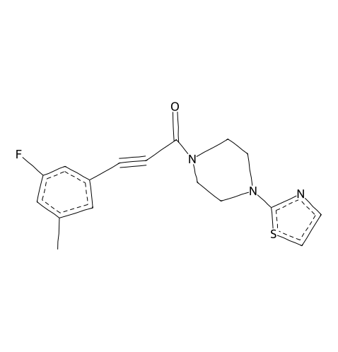 Cc1cc(F)cc(C#CC(=O)N2CCN(c3nccs3)CC2)c1